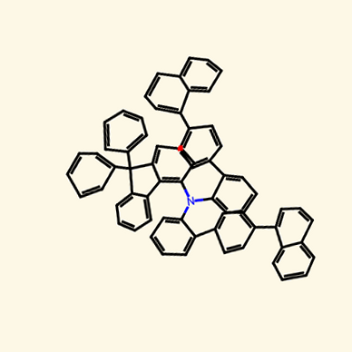 c1ccc(C2(c3ccccc3)c3ccccc3-c3c(N(c4ccccc4-c4ccc(-c5cccc6ccccc56)cc4)c4ccccc4-c4ccc(-c5cccc6ccccc56)cc4)cccc32)cc1